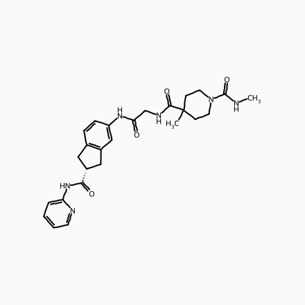 CNC(=O)N1CCC(C)(C(=O)NCC(=O)Nc2ccc3c(c2)C[C@H](C(=O)Nc2ccccn2)C3)CC1